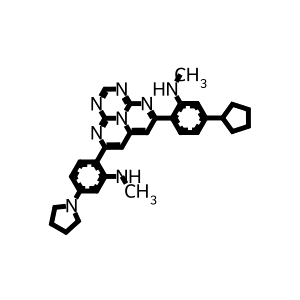 CNc1cc(N2CCCC2)ccc1C1=CC2=CC(c3ccc(C4CCCC4)cc3NC)=NC3=NC=NC(=N1)N23